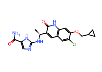 C[C@H](Nc1ncc(C(N)=O)[nH]1)c1cc2cc(Cl)c(OCC3CC3)cc2[nH]c1=O